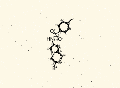 Cc1ccc(S(=O)(=O)Nc2cn3cc(Br)ncc3n2)cc1